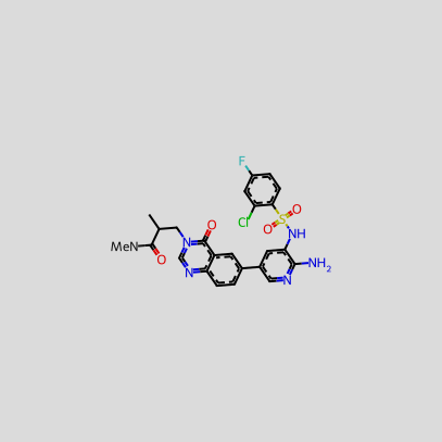 CNC(=O)C(C)Cn1cnc2ccc(-c3cnc(N)c(NS(=O)(=O)c4ccc(F)cc4Cl)c3)cc2c1=O